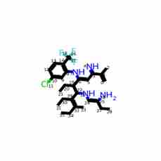 C=C(C)C(=N)/C=C(\Nc1cc(Cl)ccc1C(F)(F)F)C(CC)C(N/C=C(\N)CC)/C(CC)=C(\C)CC